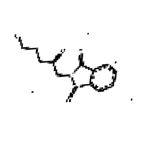 O=C(CCCCl)CN1C(=O)c2ccccc2C1=O